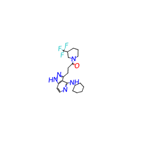 O=C(CCc1n[nH]c2ccnc(NC3CCCCC3)c12)N1CCCC(C(F)(F)F)C1